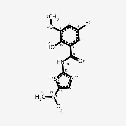 COc1cc(F)cc(C(=O)Nc2ncc([S+](C)[O-])s2)c1O